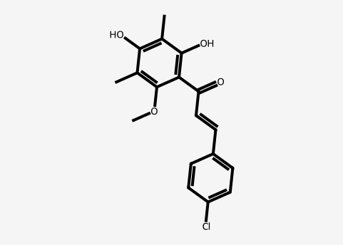 COc1c(C)c(O)c(C)c(O)c1C(=O)C=Cc1ccc(Cl)cc1